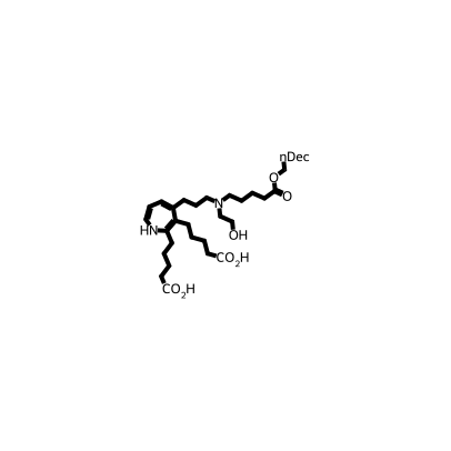 CCCCCCCCCCCOC(=O)CCCCN(CCO)CCCC1=CC=CNC(CCCCC(=O)O)=C1CCCCC(=O)O